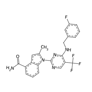 Cc1cc2c(C(N)=O)cccc2n1-c1ncc(C(F)(F)F)c(NCc2cccc(F)c2)n1